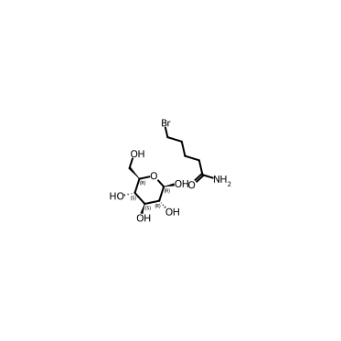 NC(=O)CCCCBr.OC[C@H]1O[C@@H](O)[C@H](O)[C@@H](O)[C@@H]1O